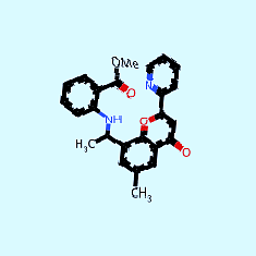 COC(=O)c1ccccc1NC(C)c1cc(C)cc2c(=O)cc(-c3ccccn3)oc12